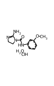 COc1cccc(NC(=O)N2CCN=C2N)c1.Cl.O